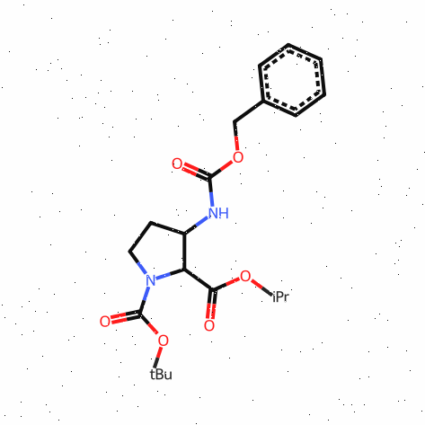 CC(C)OC(=O)C1C(NC(=O)OCc2ccccc2)CCN1C(=O)OC(C)(C)C